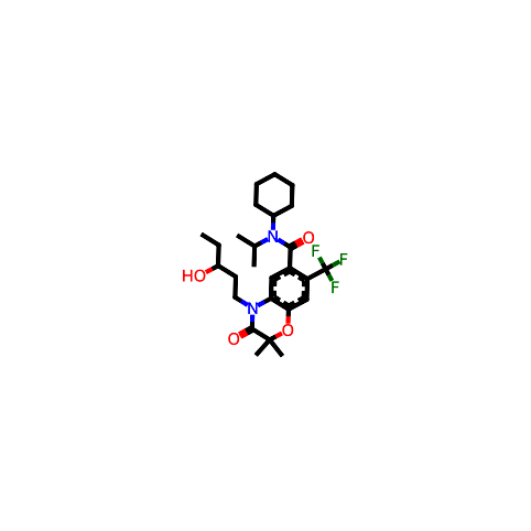 CCC(O)CCN1C(=O)C(C)(C)Oc2cc(C(F)(F)F)c(C(=O)N(C(C)C)C3CCCCC3)cc21